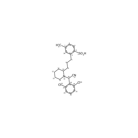 Cc1ccc(S(=O)(=O)O)c(CCCC2CCCCN2C(C#N)c2c(Cl)cccc2Cl)c1